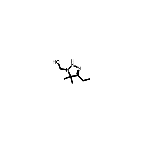 CCC1=NNN(CO)C1(C)C